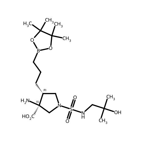 CC(C)(O)CNS(=O)(=O)N1C[C@@H](CCCB2OC(C)(C)C(C)(C)O2)[C@@](N)(C(=O)O)C1